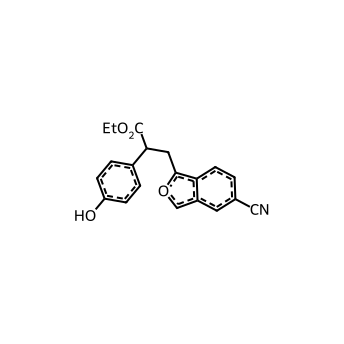 CCOC(=O)C(Cc1occ2cc(C#N)ccc12)c1ccc(O)cc1